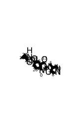 Cn1c(=O)n(Cc2ccnnc2)c(=O)c2cc(S(=O)(=O)NC3(C)CC3)ccc21